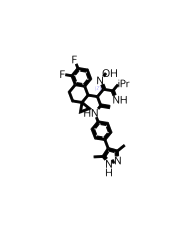 C=C(Nc1ccc(-c2c(C)n[nH]c2C)cc1)C(/C(=N/O)C(=N)C(C)C)C1c2ccc(F)c(F)c2CCC12CC2